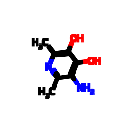 Cc1nc(C)c(O)c(O)c1N